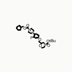 CC(C)(C)OC(=O)N1CCOC(COc2ccc(N3CCN(C(=O)OCc4ccccc4)CC3)c(F)c2)C1